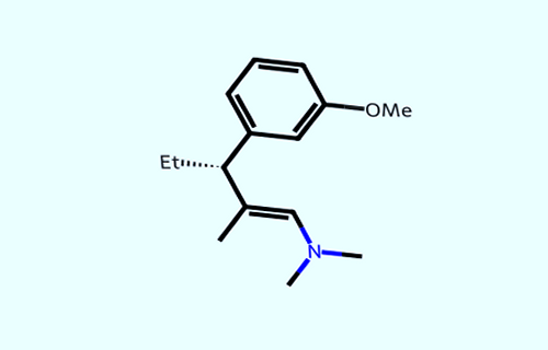 CC[C@@H](C(C)=CN(C)C)c1cccc(OC)c1